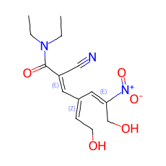 CCN(CC)C(=O)/C(C#N)=C/C(=C/CO)/C=C(\CO)[N+](=O)[O-]